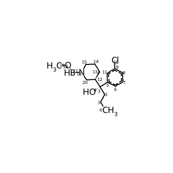 CCC[C@](O)(c1cccc(Cl)c1)[C@@H]1CCCN(BOC)C1